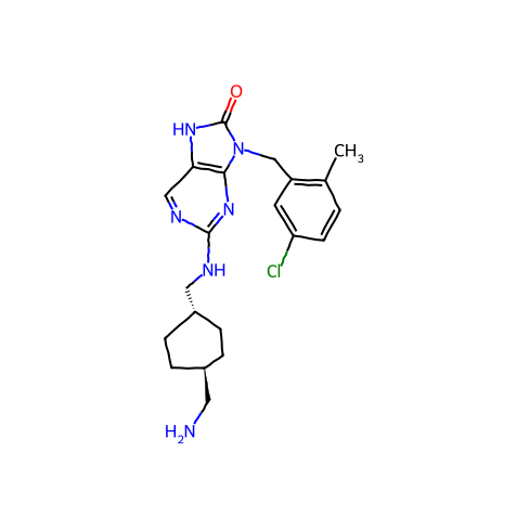 Cc1ccc(Cl)cc1Cn1c(=O)[nH]c2cnc(NC[C@H]3CC[C@H](CN)CC3)nc21